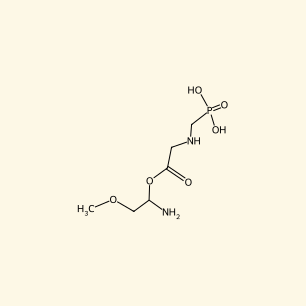 COCC(N)OC(=O)CNCP(=O)(O)O